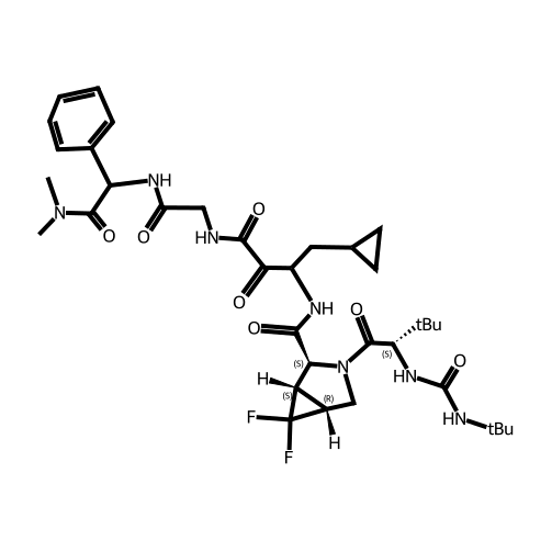 CN(C)C(=O)C(NC(=O)CNC(=O)C(=O)C(CC1CC1)NC(=O)[C@@H]1[C@@H]2[C@H](CN1C(=O)[C@@H](NC(=O)NC(C)(C)C)C(C)(C)C)C2(F)F)c1ccccc1